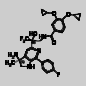 C[C@@]1(N)CNc2c1cc([C@](O)(CNC(=O)c1ccc(OC3CC3)c(OC3CC3)c1)C(F)(F)F)nc2-c1ccc(F)cc1